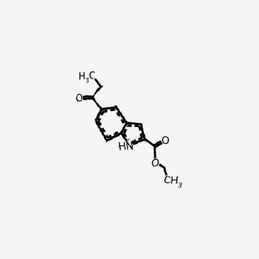 CCOC(=O)c1cc2cc(C(=O)CC)ccc2[nH]1